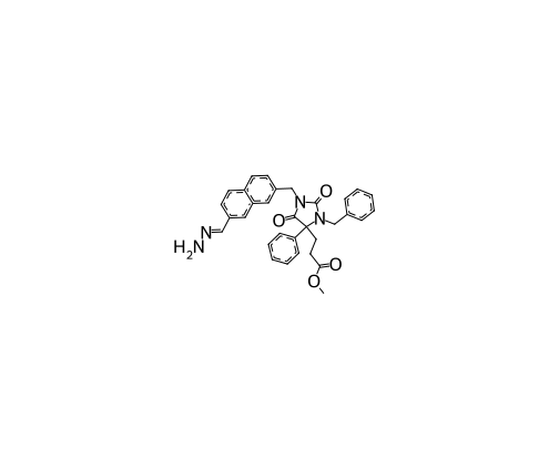 COC(=O)CCC1(c2ccccc2)C(=O)N(Cc2ccc3ccc(C=NN)cc3c2)C(=O)N1Cc1ccccc1